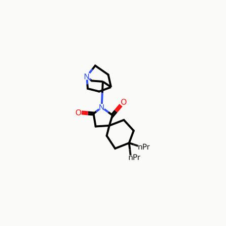 CCCC1(CCC)CCC2(CC1)CC(=O)N(C1CN3CCC1CC3)C2=O